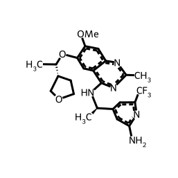 COc1cc2nc(C)nc(N[C@H](C)c3cc(N)nc(C(F)(F)F)c3)c2cc1OC(C)[C@@H]1CCOC1